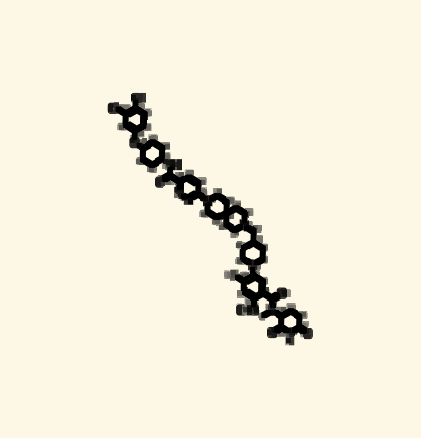 CN(C(=O)c1cc(N2CCC(CN3CCC4(CC3)CCN(c3ccc(C(=O)N[C@H]5CC[C@H](Oc6ccc(C#N)c(Cl)c6)CC5)nn3)CC4)CC2)c(F)cc1C=O)C1CCC(=O)NC1=O